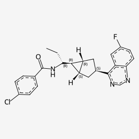 CC[C@@H](NC(=O)c1ccc(Cl)cc1)[C@H]1[C@@H]2C[C@@H](c3ncnc4ccc(F)cc34)C[C@@H]21